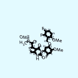 COc1cc(F)c(-n2c(=O)[nH]c3csc(C(=O)N(C)OC)c3c2=O)cc1OCc1c(OC)ccc(F)c1F